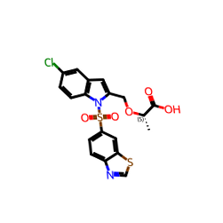 C[C@H](OCc1cc2cc(Cl)ccc2n1S(=O)(=O)c1ccc2ncsc2c1)C(=O)O